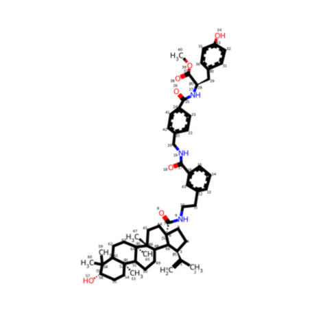 C=C(C)[C@@H]1CC[C@]2(C(=O)NCCc3cccc(C(=O)NCc4ccc(C(=O)N[C@H](Cc5ccc(O)cc5)C(=O)OC)cc4)c3)CC[C@]3(C)C(CCC4[C@@]5(C)CC[C@H](O)C(C)(C)C5CC[C@]43C)C12